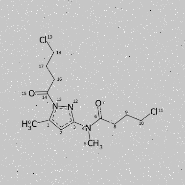 Cc1cc(N(C)C(=O)CCCCl)nn1C(=O)CCCCl